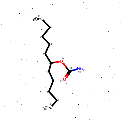 CCCCCCCCCCCCCCC(CCCCCCCCCCCCCC)OC(N)=O